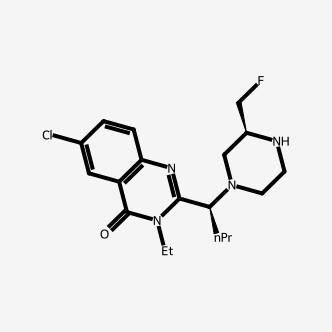 CCC[C@@H](c1nc2ccc(Cl)cc2c(=O)n1CC)N1CCN[C@H](CF)C1